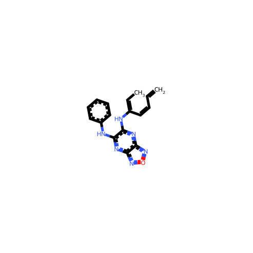 C=C/C=C\C(=C/C)Nc1nc2nonc2nc1Nc1ccccc1